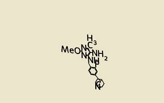 COc1nc(C)c(N)c(NCc2ccc(C3CN4CCC3CC4)cc2F)n1